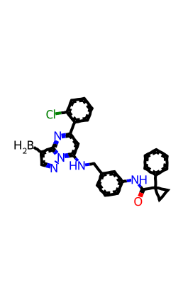 Bc1cnn2c(NCc3cccc(NC(=O)C4(c5ccccc5)CC4)c3)cc(-c3ccccc3Cl)nc12